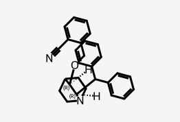 N#Cc1ccccc1CO[C@@H]1C2CCN(CC2)[C@@H]1C(c1ccccc1)c1ccccc1